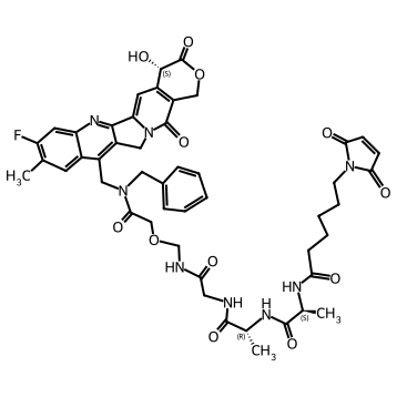 Cc1cc2c(CN(Cc3ccccc3)C(=O)COCNC(=O)CNC(=O)[C@@H](C)NC(=O)[C@H](C)NC(=O)CCCCCN3C(=O)C=CC3=O)c3c(nc2cc1F)-c1cc2c(c(=O)n1C3)COC(=O)[C@H]2O